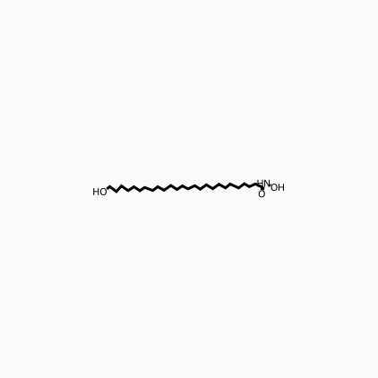 O=C(CCCCCCCCCCCCCCCCCCCCCCCCCO)NO